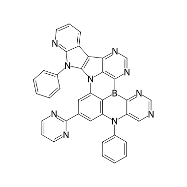 c1ccc(N2c3cncnc3B3c4c2cc(-c2ncccn2)cc4-n2c4c3ncnc4c3c4cccnc4n(-c4ccccc4)c32)cc1